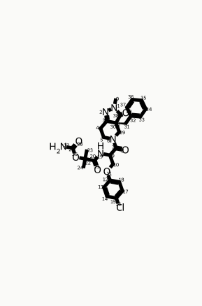 CN1N=C2CCN(C(=O)C(COc3ccc(Cl)cc3)NC(=O)C(C)(C)OC(N)=O)C[C@@]2(Cc2ccccc2)C1=O